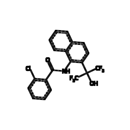 O=C(Nc1c(C(O)(C(F)(F)F)C(F)(F)F)ccc2ccccc12)c1ccccc1Cl